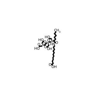 CCCCCCC(C(=O)NCCCCCCCCCCCC(=O)O)N(CCN(CCN(CC(=O)O)CC(=O)O)CC(=O)O)CC(=O)O